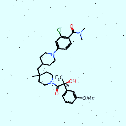 COc1cccc([C@@](O)(C(=O)N2CCC(C)(CC3CCN(c4ccc(C(=O)N(C)C)c(Cl)c4)CC3)CC2)C(F)(F)F)c1